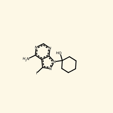 Nc1ncnc2c1c(I)nn2C1(O)CCCCC1